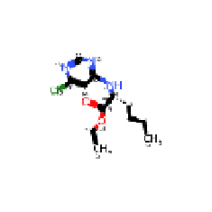 CCCC[C@@H](Nc1cc(Cl)ncn1)C(=O)OCC